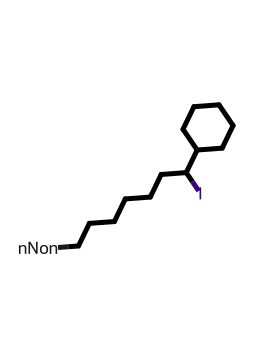 CCCCCCCCCCCCCCCC(I)C1CCCCC1